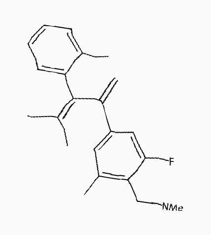 C=C(C(=C(C)C)c1ccccc1C)c1cc(C)c(CNC)c(F)c1